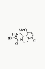 COc1ccc(Cl)c2c1C(CN)N(C(=O)OC(C)(C)C)CC2